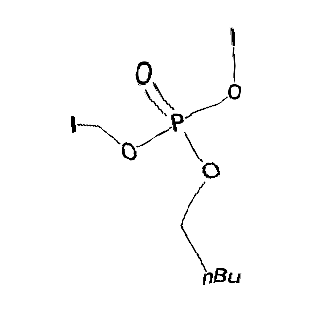 CCCCCOP(=O)(OI)OI